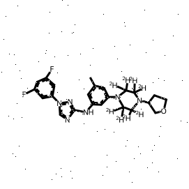 [2H]C1([2H])N(c2cc(C)cc(Nc3ncn(-c4cc(F)cc(F)c4)n3)c2)C([2H])([2H])C([2H])([2H])N(C2CCOC2)C1([2H])[2H]